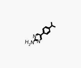 CC(C)c1ccc(-c2cnc(N)nc2)cc1